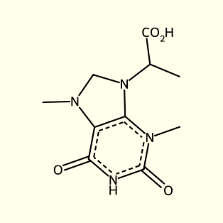 CC(C(=O)O)N1CN(C)c2c1n(C)c(=O)[nH]c2=O